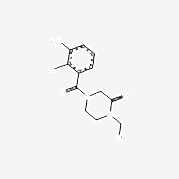 N#CCN1CCN(C(=O)c2cccc(C(F)(F)F)c2Cl)CC1=O